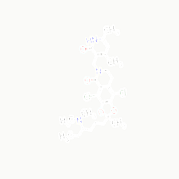 CCC(CCCC1(C)Oc2c(Cl)c3c(c(Cl)c2O1)C(=O)N(Cc1c(C)cc(C)[nH]c1=O)CC3)N(C)C